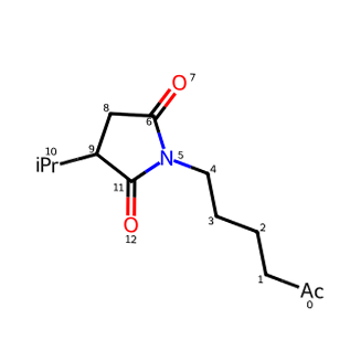 CC(=O)CCCCN1C(=O)CC(C(C)C)C1=O